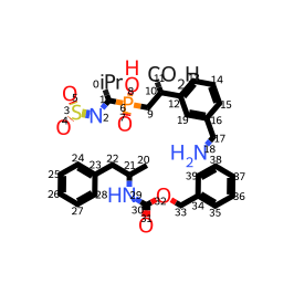 CC(C)C(N=S(=O)=O)P(=O)(O)CC(C(=O)O)c1cccc(CN)c1.CC(Cc1ccccc1)NC(=O)OCc1ccccc1